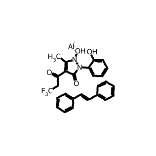 C(=Cc1ccccc1)c1ccccc1.Cc1c(C(=O)CC(F)(F)F)c(=O)n(-c2ccccc2O)n1O.[Al]